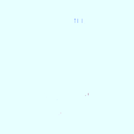 NCc1ccc(C(Br)C(=O)O)cc1